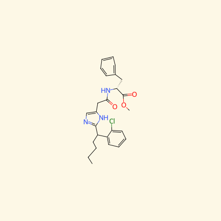 CCCCC(c1ncc(CC(=O)N[C@H](Cc2ccccc2)C(=O)OC)[nH]1)c1ccccc1Cl